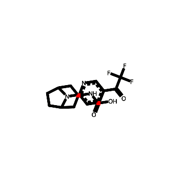 O=C(O)NC1CC2CCC(C1)N2c1ccc(C(=O)C(F)(F)F)cn1